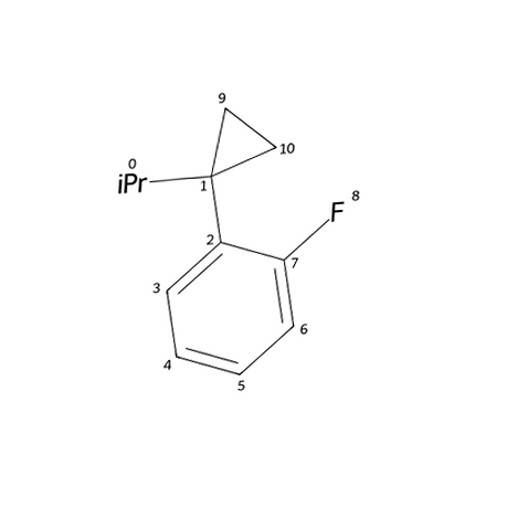 CC(C)C1(c2ccccc2F)CC1